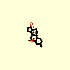 C=C1C=C2CC[C@@H]3[C@H](CC[C@]4(C)C(=O)CC[C@@H]34)[C@@]2(CSC)CC1